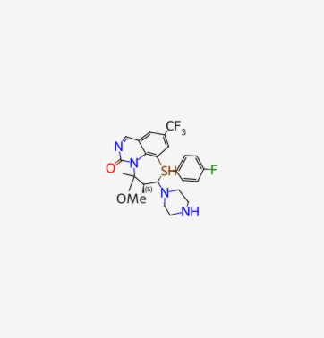 CO[C@@H]1C(N2CCNCC2)[SH](c2ccc(F)cc2)c2cc(C(F)(F)F)cc3cnc(=O)n(c23)C1(C)C